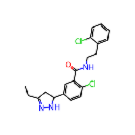 CCC1=NNC(c2ccc(Cl)c(C(=O)NCCc3ccccc3Cl)c2)C1